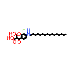 CCCCCCCCCCCCCCCCNc1ccc(C(=O)C(C(=O)O)C(=O)O)cc1F